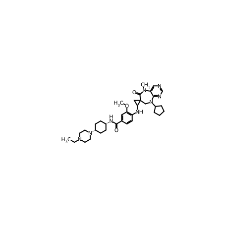 CCN1CCN([C@H]2CC[C@@H](NC(=O)c3ccc(NC4CC45CN(C4CCCC4)c4ncncc4N(C)C5=O)c(OC)c3)CC2)CC1